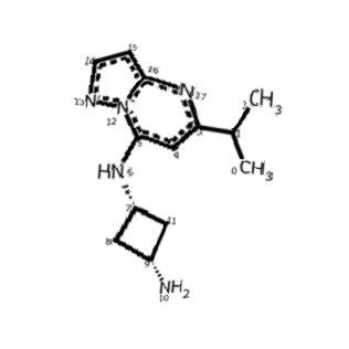 CC(C)c1cc(N[C@H]2C[C@@H](N)C2)n2nccc2n1